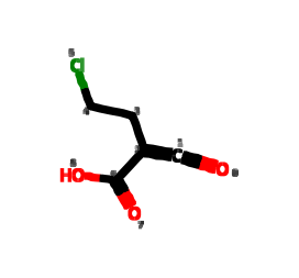 O=C=C(CCCl)C(=O)O